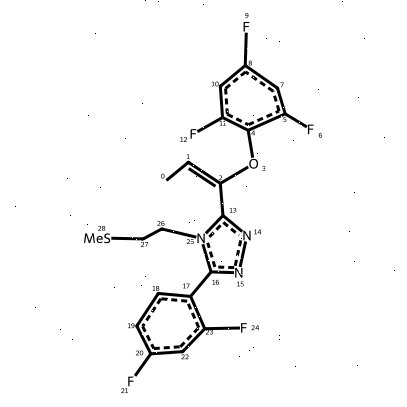 C/C=C(/Oc1c(F)cc(F)cc1F)c1nnc(-c2ccc(F)cc2F)n1CCSC